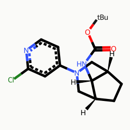 CC(C)(C)OC(=O)N[C@H]1[C@@H]2CC[C@H]1CN(c1ccnc(Cl)c1)C2